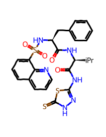 CC(C)[C@H](NC(=O)[C@H](Cc1ccccc1)NS(=O)(=O)c1cccc2cccnc12)C(=O)Nc1n[nH]c(=S)s1